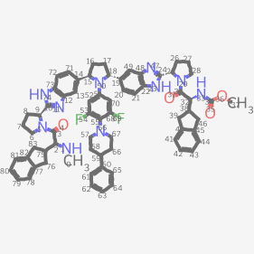 CNC(C(=O)N1CCC[C@H]1c1nc2cc([C@H]3CC[C@H](c4ccc5[nH]c([C@@H]6CCCN6C(=O)[C@@H](NC(=O)OC)C6Cc7ccccc7C6)nc5c4)N3c3cc(F)c(N4CCC(c5ccccc5)CC4)c(F)c3)ccc2[nH]1)C1Cc2ccccc2C1